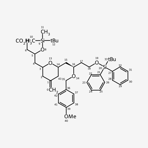 C=C1CC(CC(CC(=O)O)O[Si](C)(C)C(C)(C)C)OC(C[C@@H](CCO[Si](c2ccccc2)(c2ccccc2)C(C)(C)C)OCc2ccc(OC)cc2)C1